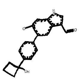 O=Cc1c[nH]c2cc(Cl)c(-c3ccc(C4(O)CCC4)cc3)cc12